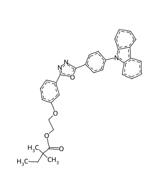 CCC(C)(C)C(=O)OCCOc1cccc(-c2nnc(-c3ccc(-n4c5ccccc5c5ccccc54)cc3)o2)c1